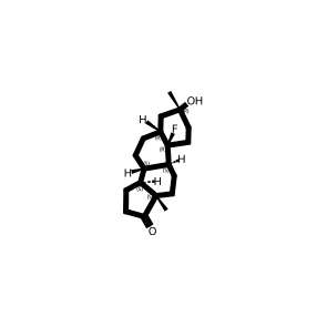 C[C@@]1(O)CC[C@@]2(F)[C@H](CC[C@@H]3[C@@H]2CC[C@]2(C)C(=O)CC[C@@H]32)C1